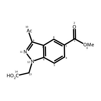 COC(=O)c1ccc2c(c1)c(C(C)=O)nn2CC(=O)O